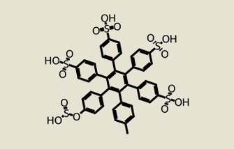 Cc1ccc(-c2c(-c3ccc(OS(=O)O)cc3)c(-c3ccc(S(=O)(=O)O)cc3)c(-c3ccc(S(=O)(=O)O)cc3)c(-c3ccc(S(=O)(=O)O)cc3)c2-c2ccc(S(=O)(=O)O)cc2)cc1